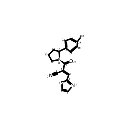 N#CC(=Cc1nccs1)C(=O)N1CCCC1c1ccc(I)cc1